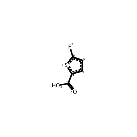 O=C(O)c1ccc(F)s1